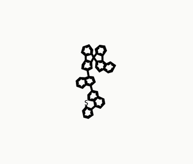 c1ccc2c(c1)Sc1cc(-c3ccc(-c4ccc5c(c4)C4(c6ccccc6-5)c5ccccc5-c5c4ccc4ccccc54)c4ccccc34)cc3cccc-2c13